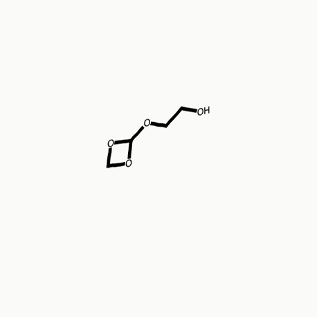 OCCOC1OCO1